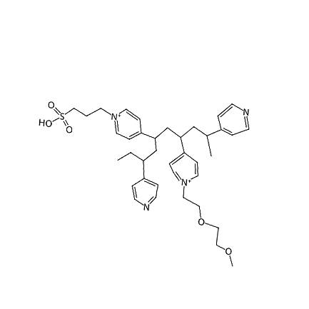 CCC(CC(CC(CC(C)c1ccncc1)c1cc[n+](CCOCCOC)cc1)c1cc[n+](CCCS(=O)(=O)O)cc1)c1ccncc1